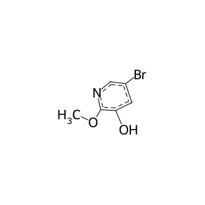 COc1ncc(Br)cc1O